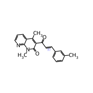 Cc1cccc(/C=C/C(=O)c2c(C)c3cccnc3n(C)c2=O)c1